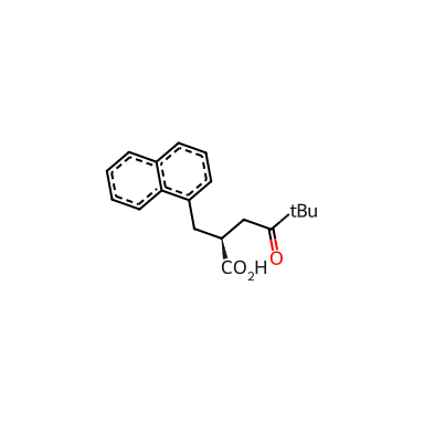 CC(C)(C)C(=O)C[C@H](Cc1cccc2ccccc12)C(=O)O